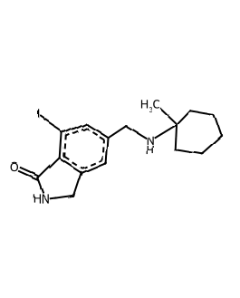 CC1(NCc2cc(I)c3c(c2)CNC3=O)CCCCC1